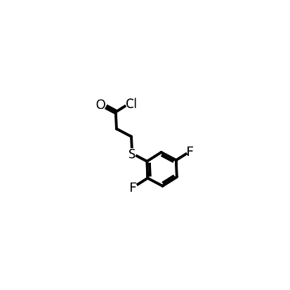 O=C(Cl)CCSc1cc(F)ccc1F